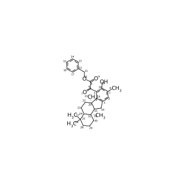 Cc1cc2c(c(C(=O)C(=O)OCc3ccccc3)c1O)[C@]1(C)CCC3C(C)(C)CCC[C@]3(C)C1C2